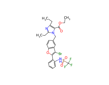 CCOC(=O)c1c(CC)nc(CC)n1Cc1ccc2oc(-c3ccccc3NS(=O)(=O)C(F)(F)F)c(Br)c2c1